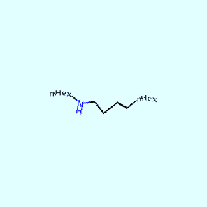 CCCCCCCCCCNCCCCCC